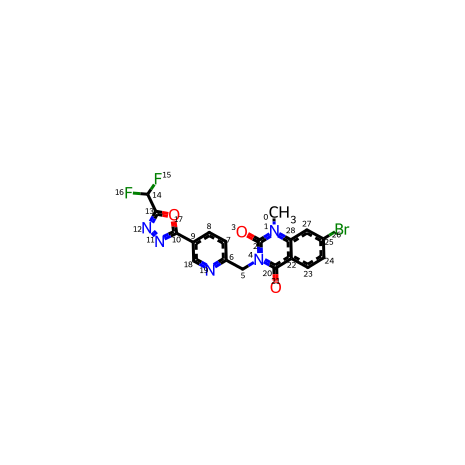 Cn1c(=O)n(Cc2ccc(-c3nnc(C(F)F)o3)cn2)c(=O)c2ccc(Br)cc21